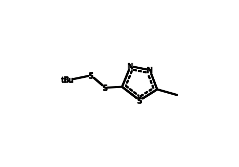 Cc1nnc(SSC(C)(C)C)s1